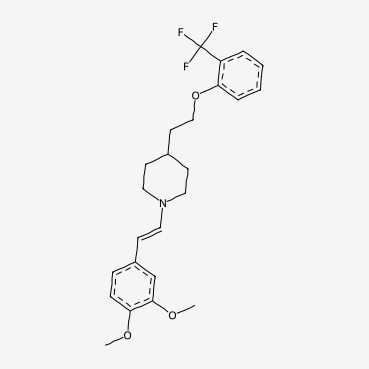 COc1ccc(C=CN2CCC(CCOc3ccccc3C(F)(F)F)CC2)cc1OC